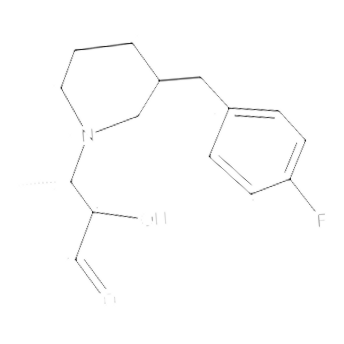 C[C@@H](C(O)C=O)N1CCCC(Cc2ccc(F)cc2)C1